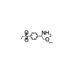 CCOCC(N)c1ccc(S(=O)(=O)CC)cc1